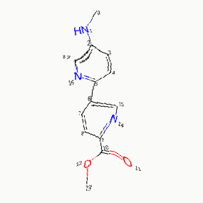 CNc1ccc(-c2ccc(C(=O)OC)nc2)nc1